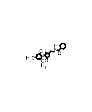 Cc1cc(C)c([C@H]2CC(CCNC(=O)C3CCCCC3)CC2=O)c(C)c1